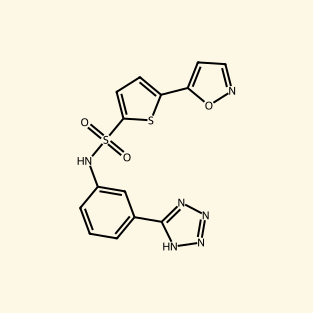 O=S(=O)(Nc1cccc(-c2nnn[nH]2)c1)c1ccc(-c2ccno2)s1